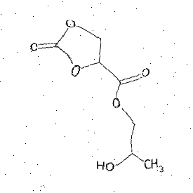 CC(O)COC(=O)C1COC(=O)O1